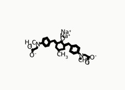 CC1C/C(=C\c2ccc(N(C)CC(=O)[O-])cc2)C(=O)/C(=C/c2ccc(N(C)CC(=O)[O-])cc2)C1.[Na+].[Na+]